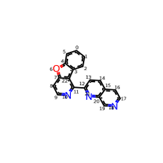 c1ccc2c(c1)oc1ccnc(-c3ccc4ccncc4n3)c12